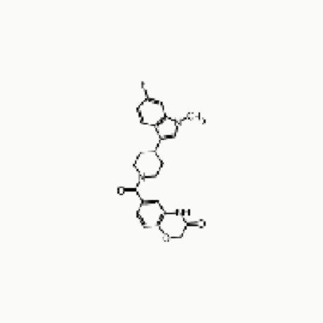 Cn1cc(C2CCN(C(=O)c3ccc4c(c3)NC(=O)CO4)CC2)c2ccc(F)cc21